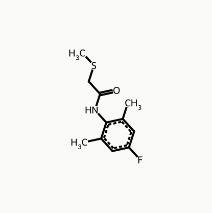 CSCC(=O)Nc1c(C)cc(F)cc1C